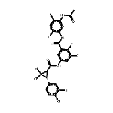 CC(=O)Nc1cc(NC(=O)c2cc(NC(=O)C3[C@H](c4ccc(Cl)c(Cl)c4)C3(Cl)Cl)cc(F)c2F)c(F)cc1F